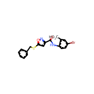 O=C(Nc1ccc(Br)cc1C(=O)O)c1cc(SCc2ccccc2)on1